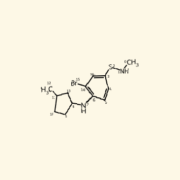 CNSc1ccc(NC2CCC(C)C2)c(Br)c1